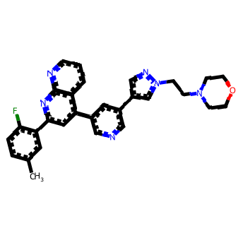 Cc1ccc(F)c(-c2cc(-c3cncc(-c4cnn(CCN5CCOCC5)c4)c3)c3cccnc3n2)c1